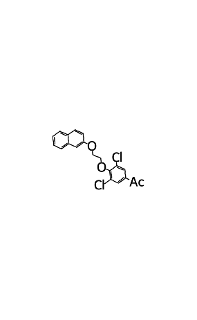 CC(=O)c1cc(Cl)c(OCCOc2ccc3ccccc3c2)c(Cl)c1